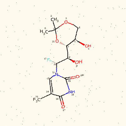 CC1(C)OC[C@@H](O)[C@H]([C@@H](O)[C@@H](F)n2cc(C(F)(F)F)c(=O)[nH]c2=O)O1